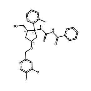 O=C(NC(=S)N[C@@]1(c2ccccc2F)C[C@@H](OCc2ccc(F)c(F)c2)C[C@H]1CO)c1ccccc1